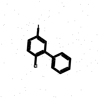 Clc1ccc(I)cc1-c1ccccc1